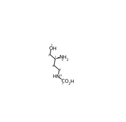 N[C@H](CO)CCNC(=O)O